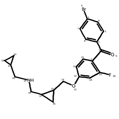 O=C(c1ccc(Br)cc1)c1ccc(OCC2CC2CNCC2CC2)cc1F